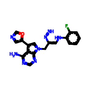 N=N/C(=C\Nc1ccccc1F)Cn1cc(-c2cnco2)c2c(N)ncnc21